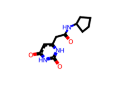 O=C(Cc1cc(=O)[nH]c(=O)[nH]1)NC1CCCC1